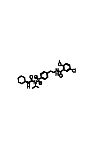 COc1ccc(Cl)cc1C(=O)NCCc1ccc(S(=O)(=O)N(C(=O)NC2CCCCC2)C(C)C)cc1